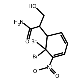 NC(=O)C(CO)C1C=CC=C([N+](=O)[O-])C1(Br)Br